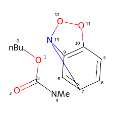 CCCCOC(=O)NC.c1cc2cc3c1oon2-3